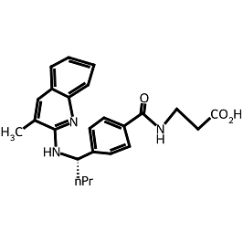 CCC[C@H](Nc1nc2ccccc2cc1C)c1ccc(C(=O)NCCC(=O)O)cc1